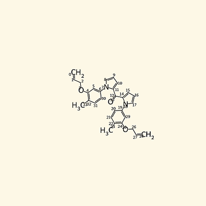 C=CCOc1cc(-n2cccc2C(=O)c2cccn2-c2ccc(C)c(OCC=C)c2)ccc1C